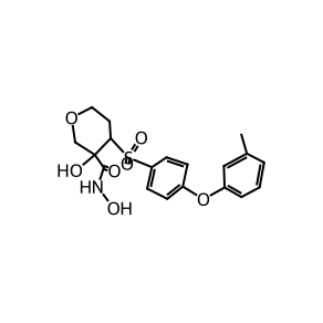 Cc1cccc(Oc2ccc(S(=O)(=O)C3CCOCC3(O)C(=O)NO)cc2)c1